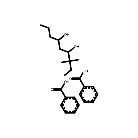 CCCC(O)CC(O)C(C)(C)CC.O=C(O)c1ccccc1.O=C(O)c1ccccc1